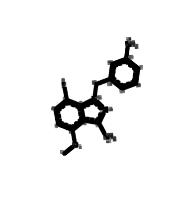 COc1ccc(F)c2c1c(N)nn2Cc1cccc(N)c1